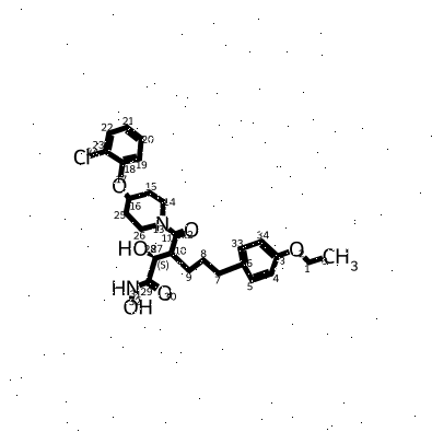 CCOc1ccc(CCCC(C(=O)N2CCC(Oc3ccccc3Cl)CC2)[C@H](O)C(=O)NO)cc1